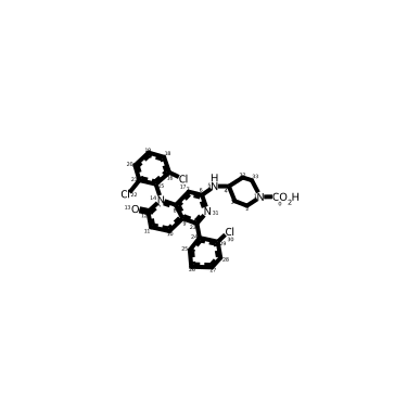 O=C(O)N1CCC(Nc2cc3c(ccc(=O)n3-c3c(Cl)cccc3Cl)c(-c3ccccc3Cl)n2)CC1